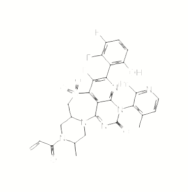 C=CC(=O)N1CC2CS(=O)(=O)c3c(F)c(-c4c(O)ccc(F)c4F)nc4c3c(nc(=O)n4-c3c(C)ccnc3C(C)C)N2CC1C